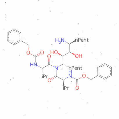 CCCCC[C@H](N)[C@@H](O)[C@H](O)[C@H](CCCCC)N(C(=O)[C@@H](NC(=O)OCc1ccccc1)C(C)C)C(=O)[C@@H](NC(=O)OCc1ccccc1)C(C)C